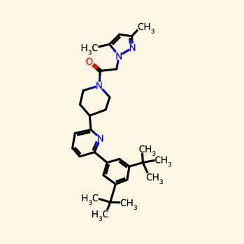 Cc1cc(C)n(CC(=O)N2CCC(c3cccc(-c4cc(C(C)(C)C)cc(C(C)(C)C)c4)n3)CC2)n1